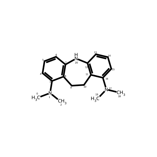 CN(C)c1cccc2c1CCc1c(cccc1N(C)C)N2